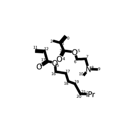 C=C(C)C(=O)OCCN(C)C.C=CC(=O)OCCCCCC(C)C